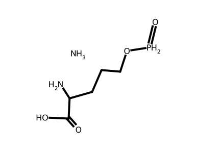 N.NC(CCCO[PH2]=O)C(=O)O